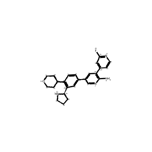 Nc1ncc(-c2ccc(C3CCOCC3)c([C@H]3CCCN3)c2)cc1-c1ccnc(F)c1